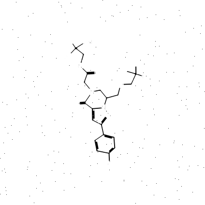 CC(C)(O)CNC(=O)CN1CC(COCC(F)(F)F)n2nc(-c3ccc(Cl)cc3)cc2C1=O